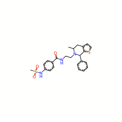 CC1Cc2ccsc2C(c2ccccc2)N1CCNC(=O)c1ccc(NS(C)(=O)=O)cc1